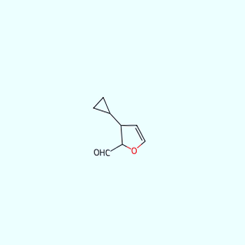 O=CC1OC=CC1C1CC1